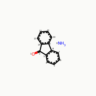 N.O=C1c2ccccc2-c2ccccc21